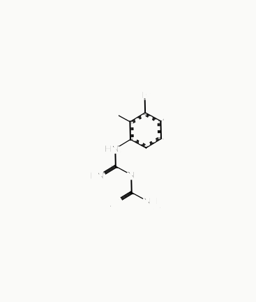 Cc1c(Br)cccc1NC(=N)NC(N)=O